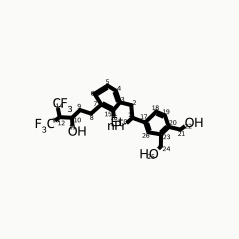 CCCC(Cc1cccc(CCC(O)C(C(F)(F)F)C(F)(F)F)c1CC)c1ccc(CO)c(CO)c1